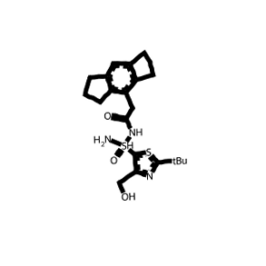 CC(C)(C)c1nc(CO)c([SH](N)(=O)NC(=O)Cc2c3c(cc4c2CCC4)CCC3)s1